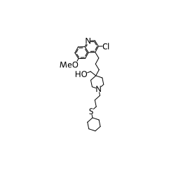 COc1ccc2ncc(Cl)c(CCCC3(CO)CCN(CCCSC4CCCCC4)CC3)c2c1